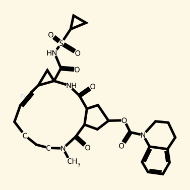 CN1CCCC/C=C/C2CC2(C(=O)NS(=O)(=O)C2CC2)NC(=O)C2CC(OC(=O)N3CCCc4ccccc43)CC2C1=O